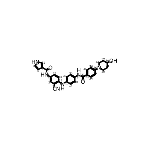 N#Cc1cc(NC(=O)c2cc[nH]c2)ccc1Nc1ccc(NC(=O)c2ccc(N3CCC(O)CC3)cc2)cc1